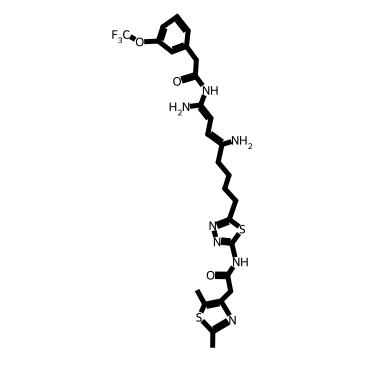 Cc1nc(CC(=O)Nc2nnc(CCCC/C(N)=C/C=C(\N)NC(=O)Cc3cccc(OC(F)(F)F)c3)s2)c(C)s1